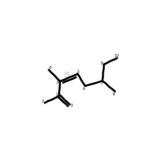 C=C(C)/C(C)=C\CC(C)CC